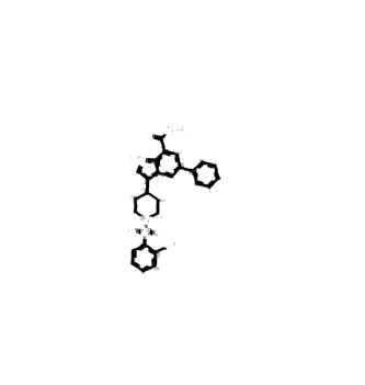 NC(=O)c1cc(-c2ccccc2)cc2c(C3CCN(S(=O)(=O)c4ccccc4I)CC3)c[nH]c12